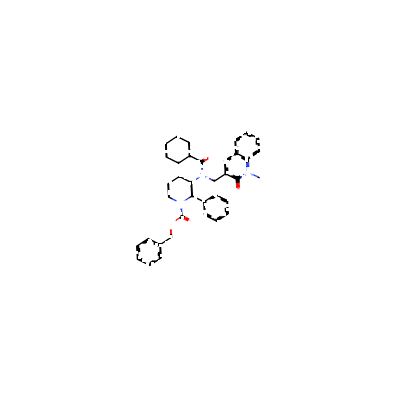 Cn1c(=O)c(CN(C(=O)C2CCCCC2)C2CCCN(C(=O)OCc3ccccc3)C2c2ccccc2)cc2ccccc21